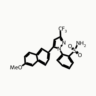 COc1ccc2cc(-c3cc(C(F)(F)F)nn3-c3ccccc3S(N)(=O)=O)ccc2c1